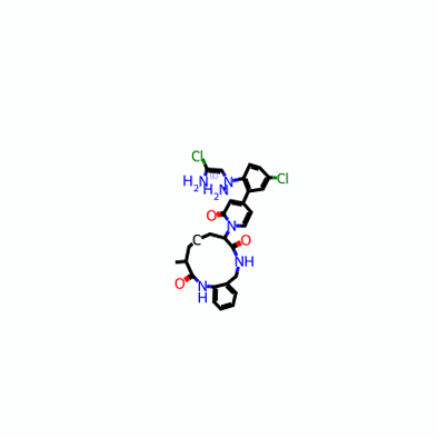 CC1CCCC(n2ccc(-c3cc(Cl)ccc3N(N)/C=C(\N)Cl)cc2=O)C(=O)NCc2ccccc2NC1=O